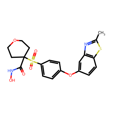 Cc1nc2cc(Oc3ccc(S(=O)(=O)C4(C(=O)NO)CCOCC4)cc3)ccc2s1